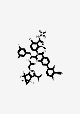 Cn1nc(NS(C)(=O)=O)c2c(Cl)ccc(-n3c([C@H](Cc4cc(F)cc(F)c4)NC(=O)Cn4nc(C(F)F)c5c4C(F)(F)[C@@H]4C[C@H]54)nc4cc(-c5ccc(F)c(C#N)c5F)ccc4c3=O)c21